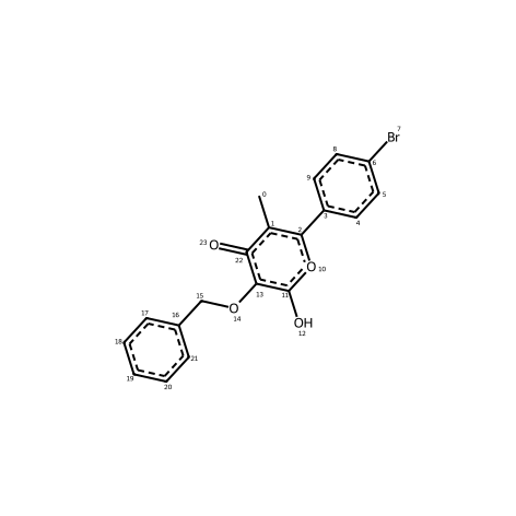 Cc1c(-c2ccc(Br)cc2)oc(O)c(OCc2ccccc2)c1=O